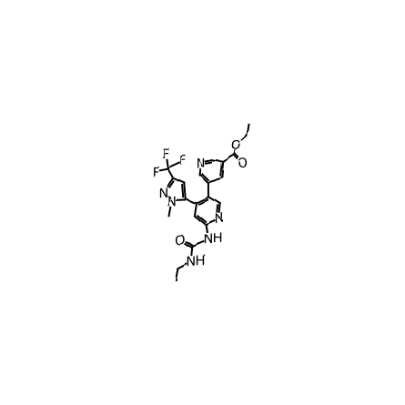 CCNC(=O)Nc1cc(-c2cc(C(F)(F)F)nn2C)c(-c2cncc(C(=O)OCC)c2)cn1